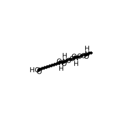 CCCCNC(=O)COCCOCCNC(=O)COCCOCCNC(=O)CNC(=O)CCCCCCCCCCCCCCCCC(=O)O